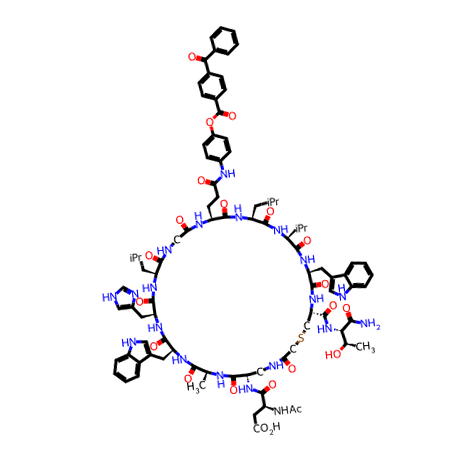 CC(=O)N[C@@H](CC(=O)O)C(=O)N[C@H]1CNC(=O)CSC[C@@H](C(=O)N[C@H](C(N)=O)[C@@H](C)O)NC(=O)[C@H](Cc2c[nH]c3ccccc23)NC(=O)[C@H](C(C)C)NC(=O)[C@H](CC(C)C)NC(=O)[C@H](CCC(=O)Nc2ccc(OC(=O)c3ccc(C(=O)c4ccccc4)cc3)cc2)NC(=O)CNC(=O)[C@H](CC(C)C)NC(=O)[C@H](Cc2c[nH]cn2)NC(=O)[C@H](Cc2c[nH]c3ccccc23)NC(=O)[C@H](C)NC1=O